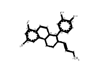 CCC=CC1CCC2c3cc(F)cc(F)c3CCC2C1c1ccc(F)c(F)c1